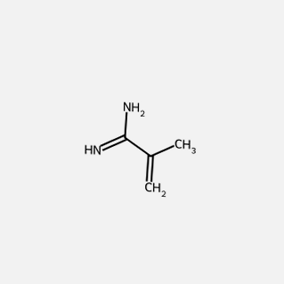 C=C(C)C(=N)N